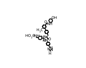 Cc1ccc(C(=O)N[C@H]2CC[C@H](O)CC2)cc1-c1ccc(C[C@H](NC(=O)C2CCC(CNC(=O)O)CC2)C(=O)Nc2ccc(-c3nn[nH]n3)cc2)cc1